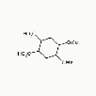 COC1CC(C(=O)O)C(C(=O)O)CC1OC